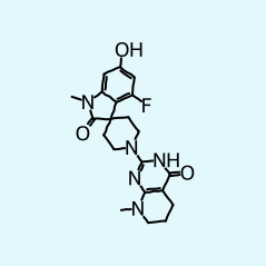 CN1CCCc2c1nc(N1CCC3(CC1)C(=O)N(C)c1cc(O)cc(F)c13)[nH]c2=O